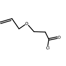 C=CCOCCC(=O)Cl